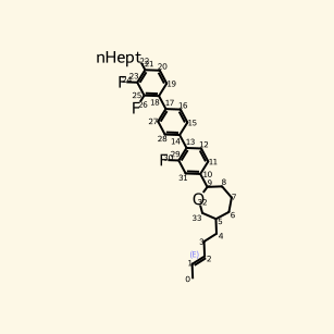 C/C=C/CCC1CCCC(c2ccc(-c3ccc(-c4ccc(CCCCCCC)c(F)c4F)cc3)c(F)c2)OC1